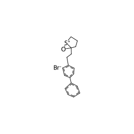 [Br-].c1ccc(-c2ccc(CCC34CCC[S+]3O4)cc2)cc1